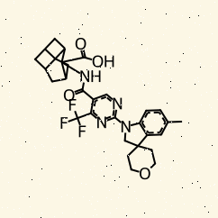 Cc1ccc2c(c1)C1(CCOCC1)CN2c1ncc(C(=O)NC2(C(=O)O)C3CC4CC5CC2C45C3)c(C(F)(F)F)n1